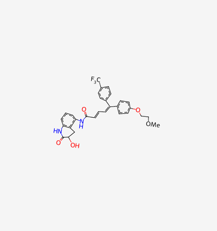 COCCOc1ccc(C(=CC=CC(=O)Nc2cccc3c2CC(O)C(=O)N3)c2ccc(C(F)(F)F)cc2)cc1